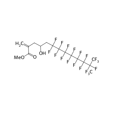 C=C(CC(O)CC(F)(F)C(F)(F)C(F)(F)C(F)(F)C(F)(F)C(F)(F)C(F)(C(F)(F)F)C(F)(F)F)C(=O)OC